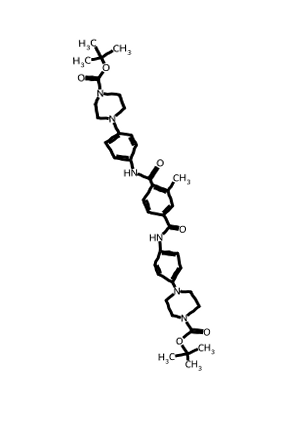 Cc1cc(C(=O)Nc2ccc(N3CCN(C(=O)OC(C)(C)C)CC3)cc2)ccc1C(=O)Nc1ccc(N2CCN(C(=O)OC(C)(C)C)CC2)cc1